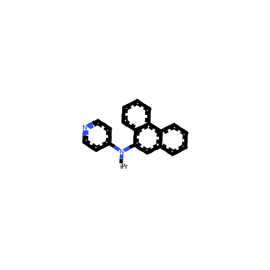 CC(C)N(c1ccncc1)c1cc2ccccc2c2ccccc12